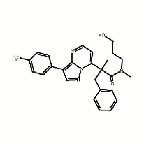 CN(CCCO)C(=O)C(C)(Cc1ccccc1)c1ccnc2c(-c3ccc(C(F)(F)F)cc3)cnn12